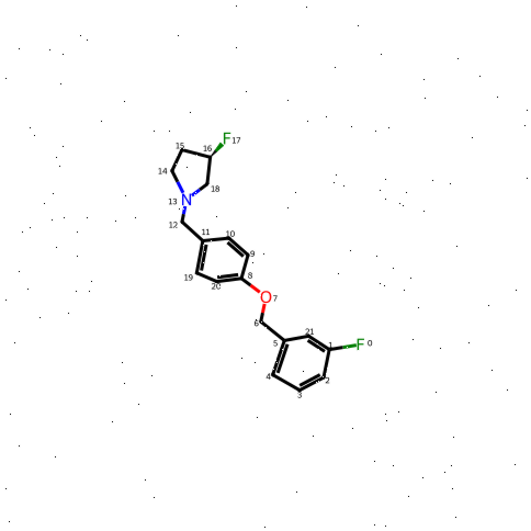 Fc1cccc(COc2ccc(CN3CC[C@@H](F)C3)cc2)c1